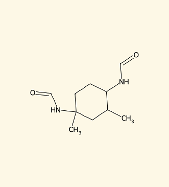 CC1CC(C)(NC=O)CCC1NC=O